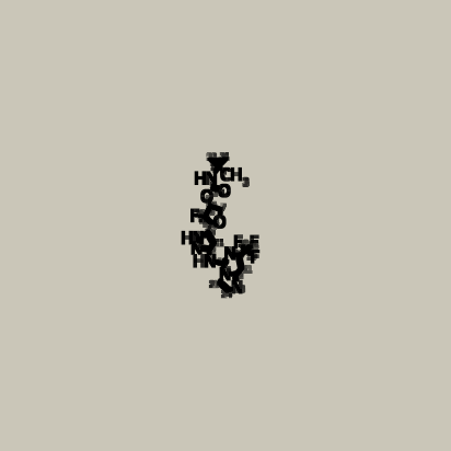 CC1(NC(=O)O[C@@H]2CO[C@H](c3cc(Nc4nc(C(F)(F)F)cc5nccn45)n[nH]3)[C@H]2F)CC1